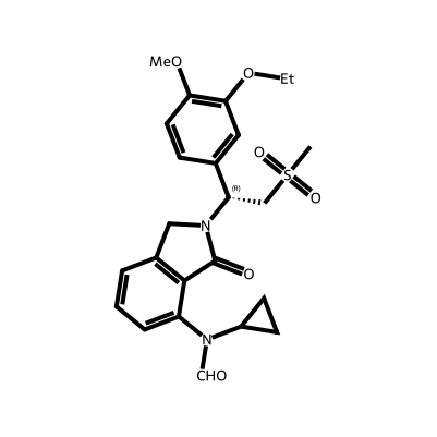 CCOc1cc([C@H](CS(C)(=O)=O)N2Cc3cccc(N(C=O)C4CC4)c3C2=O)ccc1OC